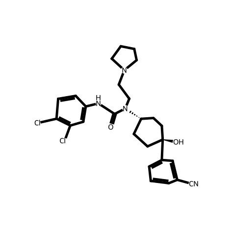 N#Cc1cccc([C@]2(O)CC[C@H](N(CCN3CCCC3)C(=O)Nc3ccc(Cl)c(Cl)c3)CC2)c1